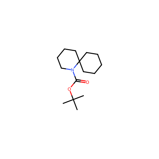 CC(C)(C)OC(=O)N1CCCCC12CCCCC2